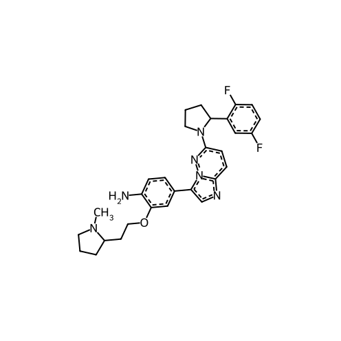 CN1CCCC1CCOc1cc(-c2cnc3ccc(N4CCCC4c4cc(F)ccc4F)nn23)ccc1N